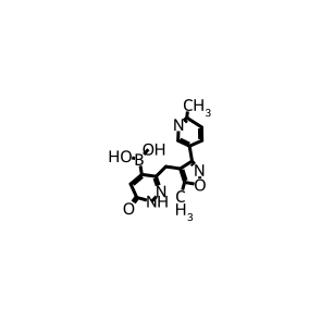 Cc1ccc(-c2noc(C)c2Cc2n[nH]c(=O)cc2B(O)O)cn1